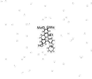 CCN(Cc1ccc(CN2CCCCCC2)cc1)c1cc(OC)c(OC)cc1C1CCc2cc(O)ccc2C1